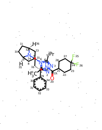 Cc1nnc(C(C)C)n1[C@H]1C[C@H]2CC[C@@H](C1)N2CC[C@H](NC(=O)C1CCC(F)(F)CC1)c1ccccc1